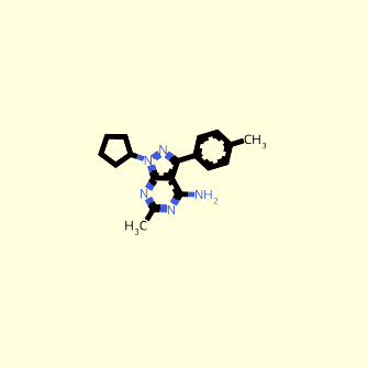 Cc1ccc(-c2nn(C3CCCC3)c3nc(C)nc(N)c23)cc1